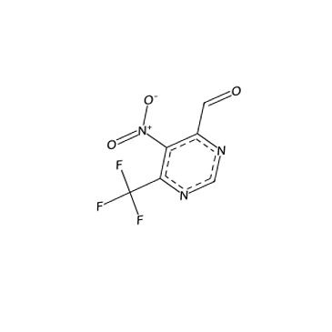 O=Cc1ncnc(C(F)(F)F)c1[N+](=O)[O-]